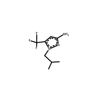 CC(C)Cn1nc(N)cc1C(F)(F)F